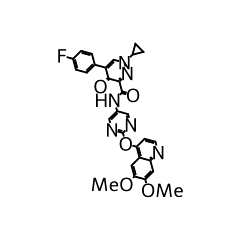 COc1cc2nccc(Oc3ncc(NC(=O)c4nn(C5CC5)cc(-c5ccc(F)cc5)c4=O)cn3)c2cc1OC